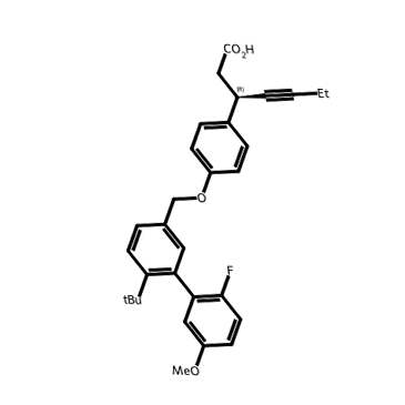 CCC#C[C@H](CC(=O)O)c1ccc(OCc2ccc(C(C)(C)C)c(-c3cc(OC)ccc3F)c2)cc1